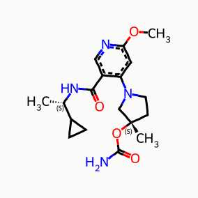 COc1cc(N2CC[C@](C)(OC(N)=O)C2)c(C(=O)N[C@@H](C)C2CC2)cn1